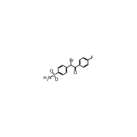 NS(=O)(=O)c1ccc(C(Br)C(=O)c2ccc(F)cc2)cc1